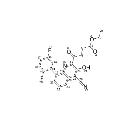 CCOC(=O)CCC(=O)c1nc2c(-c3cc(F)ccc3F)cccc2c(C#N)c1O